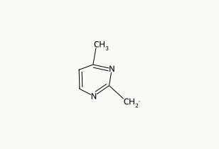 [CH2]c1nccc(C)n1